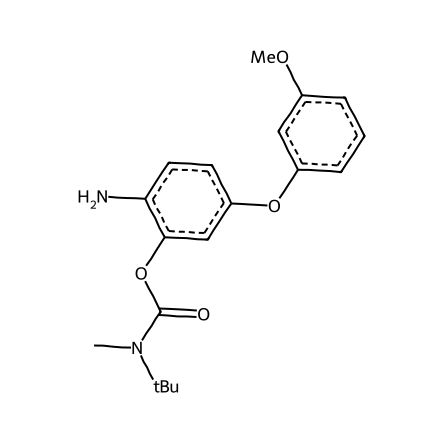 COc1cccc(Oc2ccc(N)c(OC(=O)N(C)C(C)(C)C)c2)c1